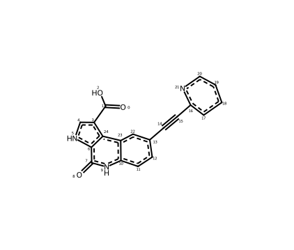 O=C(O)c1c[nH]c2c(=O)[nH]c3ccc(C#Cc4ccccn4)cc3c12